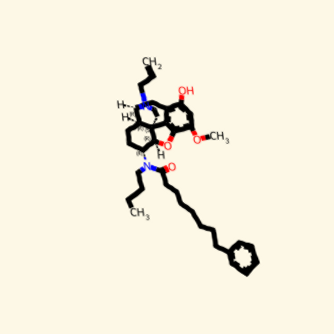 C=CCN1CC[C@]23c4c5c(O)cc(OC)c4O[C@H]2[C@H](N(CCCC)C(=O)CCCCCCCc2ccccc2)CC[C@H]3[C@H]1C5